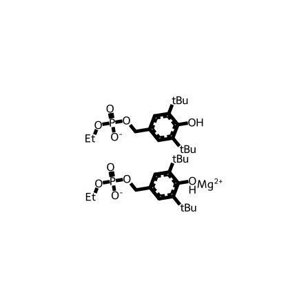 CCOP(=O)([O-])OCc1cc(C(C)(C)C)c(O)c(C(C)(C)C)c1.CCOP(=O)([O-])OCc1cc(C(C)(C)C)c(O)c(C(C)(C)C)c1.[Mg+2]